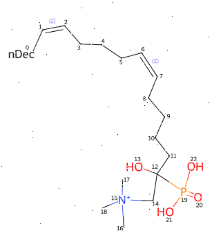 CCCCCCCCCC/C=C\CCC/C=C\CCCCC(O)(C[N+](C)(C)C)P(=O)(O)O